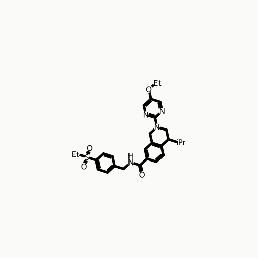 CCOc1cnc(N2Cc3cc(C(=O)NCc4ccc(S(=O)(=O)CC)cc4)ccc3C(C(C)C)C2)nc1